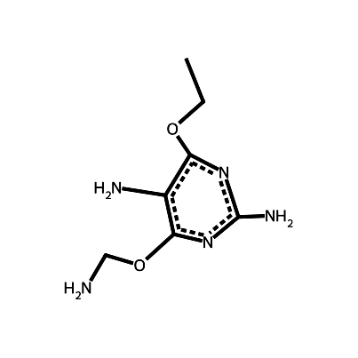 CCOc1nc(N)nc(OCN)c1N